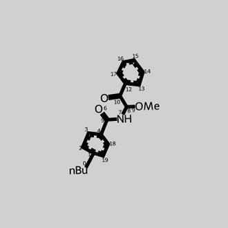 CCCCc1ccc(C(=O)NC(OC)C(=O)c2ccccc2)cc1